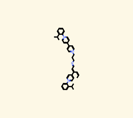 C\C=C/C(=C\C=N\CCC[n+]1ccc(-c2cc[n+](-c3ccccc3C(C)C)cc2)cc1)c1cc[n+](-c2ccccc2C(C)C)cc1